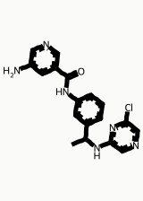 CC(Nc1cncc(Cl)n1)c1cccc(NC(=O)c2cncc(N)c2)c1